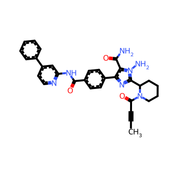 CC#CC(=O)N1CCCCC1c1nc(-c2ccc(C(=O)Nc3cc(-c4ccccc4)ccn3)cc2)c(C(N)=O)n1N